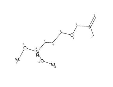 C=C(C)COCCC[SiH](OCC)OCC